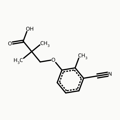 Cc1c(C#N)cccc1OCC(C)(C)C(=O)O